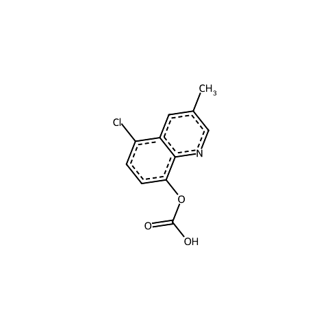 Cc1cnc2c(OC(=O)O)ccc(Cl)c2c1